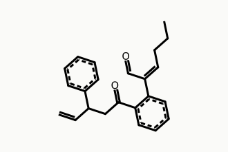 C=CC(CC(=O)c1ccccc1C(C=O)=CCCC)c1ccccc1